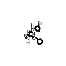 Brc1cccc(Nc2nc(OCC3CCCCC3)c3[nH]cnc3n2)c1